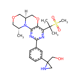 C[C@@H]1COC[C@H]2COc3c(nc(-c4cccc(C5(CO)CN5)c4)nc3C(C)(C)S(C)(=O)=O)N21